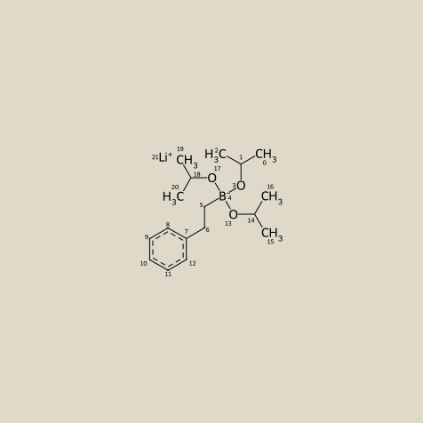 CC(C)O[B-](CCc1ccccc1)(OC(C)C)OC(C)C.[Li+]